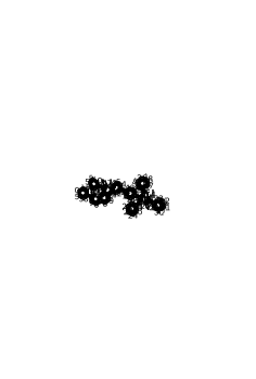 c1ccc(-c2ccc3ccc4c5cc(-c6ccc(-c7c(-c8ccccc8)nc(-c8ccccc8)nc7-c7ccccc7)cc6)ccc5nc(-c5ccccc5)c4c3n2)cc1